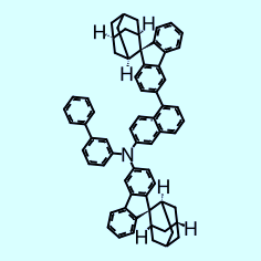 c1ccc(-c2cccc(N(c3ccc4c(c3)-c3ccccc3[C@]43[C@@H]4CC5C[C@@H](C4)C[C@@H]3C5)c3ccc4c(-c5ccc6c(c5)-c5ccccc5[C@]65[C@@H]6CC7C[C@H](C6)C[C@H]5C7)cccc4c3)c2)cc1